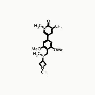 COc1cc(-c2cc(C)c(=O)n(C)c2)cc(OC)c1CN(C)C1CN(C)C1